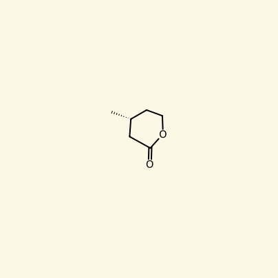 C[C@@H]1CCOC(=O)C1